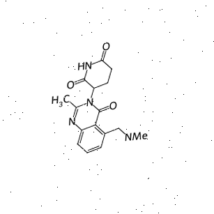 CNCc1cccc2nc(C)n(C3CCC(=O)NC3=O)c(=O)c12